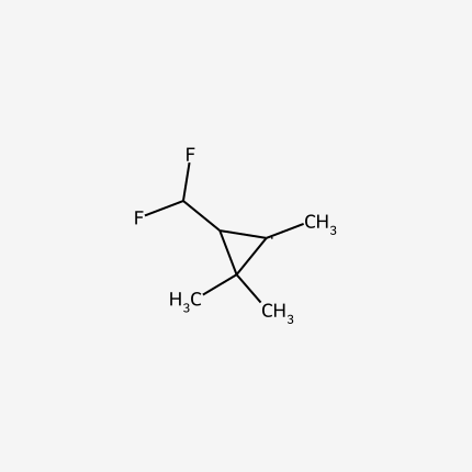 C[C]1C(C(F)F)C1(C)C